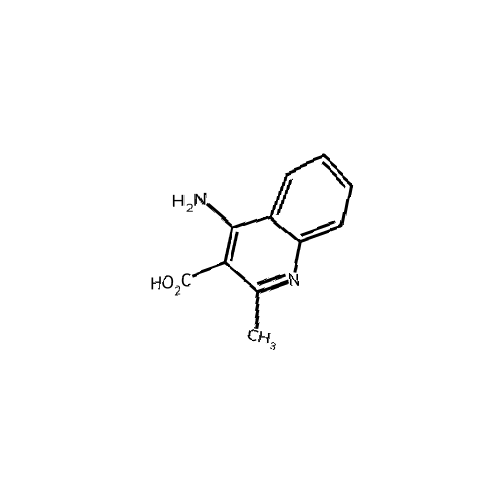 Cc1nc2ccccc2c(N)c1C(=O)O